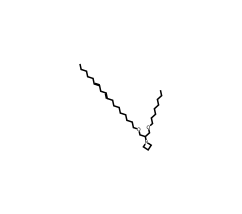 CCCCCC=CCC=CCCCCCCCCOCC(COCCCCCCCC)N1CCC1